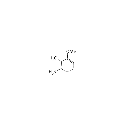 COC1=CC[CH]C(N)=C1C